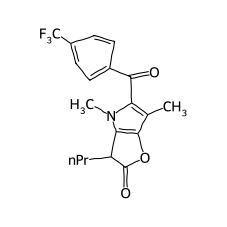 CCCC1C(=O)Oc2c(C)c(C(=O)c3ccc(C(F)(F)F)cc3)n(C)c21